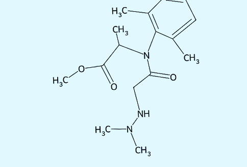 COC(=O)C(C)N(C(=O)CNN(C)C)c1c(C)cccc1C